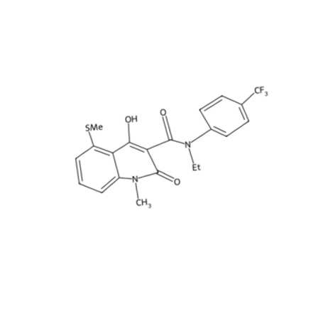 CCN(C(=O)c1c(O)c2c(SC)cccc2n(C)c1=O)c1ccc(C(F)(F)F)cc1